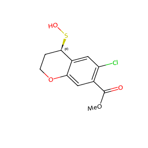 COC(=O)c1cc2c(cc1Cl)[C@H](SO)CCO2